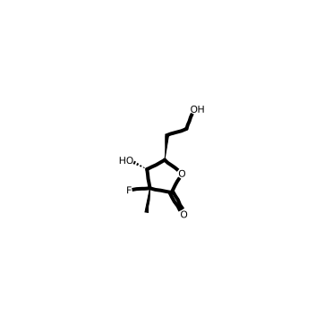 C[C@]1(F)C(=O)O[C@H](CCO)[C@H]1O